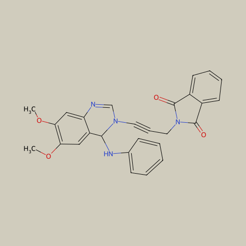 COc1cc2c(cc1OC)C(Nc1ccccc1)N(C#CCN1C(=O)c3ccccc3C1=O)C=N2